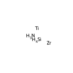 N.[SiH4].[Ti].[Zr]